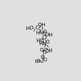 CC(C)(C)C(=O)OCCOC(=O)c1cc(NC(=O)c2cc(O)c(C(=O)Nc3ccc(O)c(C(=O)O)c3)cc2O)ccc1O